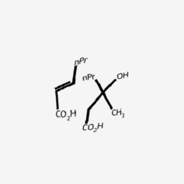 CCCC(C)(O)CC(=O)O.CCCC=CC(=O)O